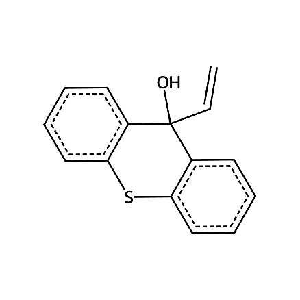 C=CC1(O)c2ccccc2Sc2ccccc21